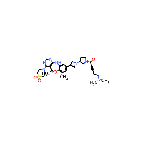 Cc1cc(C2CN(C3CCN(C(=O)C#CCCN(C)C)C3)C2)cc2c1O[C@H](C)c1c(ncnc1N1CCS(=O)(=O)CC1)N2